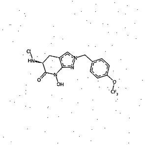 O=C1[C@@H](NCl)Cc2cn(Cc3ccc(OC(F)(F)F)cc3)nc2N1O